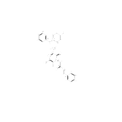 Cc1c(Cl)nc(NC[C@H]2C[C@H](C)CCN2Cc2ccccc2)c(=O)n1CC(=O)OCc1ccccc1